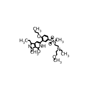 CCCOc1ccc(S(=O)(=O)N(C)CCN(CC)CCOC)cc1-c1cc2c(CC)nn(C)c2c(=O)[nH]1